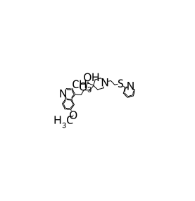 COc1ccc2ncc(C)c(CCCC3(C(=O)O)CCN(CCSc4ccccn4)CC3)c2c1